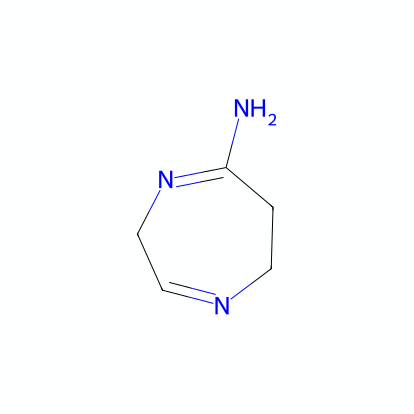 NC1=NCC=NCC1